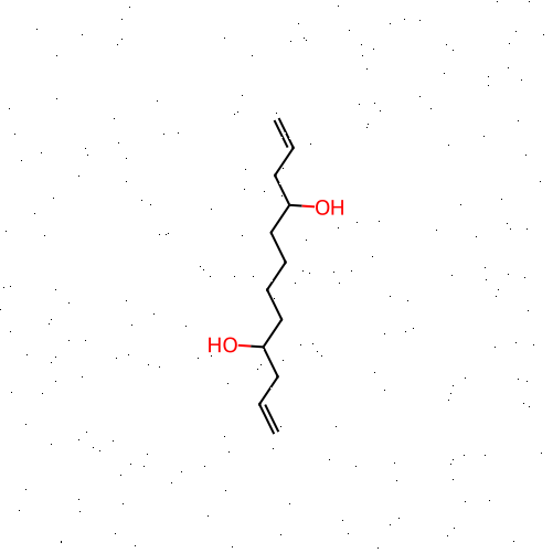 C=CCC(O)CCCCC(O)CC=C